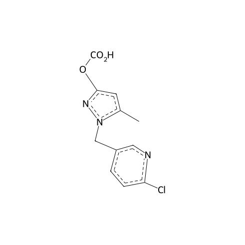 Cc1cc(OC(=O)O)nn1Cc1ccc(Cl)nc1